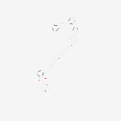 Nc1ncc(-c2cnn(C3CCN(C(=O)CCCCNC(=O)NCCCCNc4cccc5c4C(=O)N([C@@H]4CCC(=O)NC4=O)C5=O)CC3)c2)cc1OCCc1c(Cl)ccc(F)c1Cl